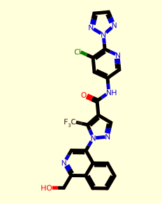 O=C(Nc1cnc(-n2nccn2)c(Cl)c1)c1cnn(-c2cnc(CO)c3ccccc23)c1C(F)(F)F